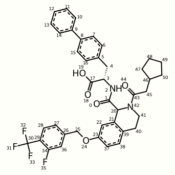 O=C(N[C@@H](Cc1ccc(-c2ccccc2)cc1)C(=O)O)C1c2cc(OCc3ccc(C(F)(F)F)c(F)c3)ccc2CCN1C(=O)CC1CCCC1